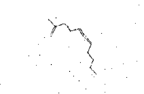 CCCCC=C=CCCC(C)=O